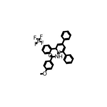 COc1ccc(C(=O)NN2C(c3ccccc3)=CC(c3ccccc3)=CC2c2ccccc2)cc1.F[B-](F)(F)F